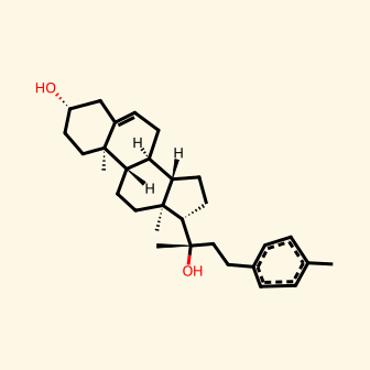 Cc1ccc(CC[C@](C)(O)[C@H]2CC[C@H]3[C@@H]4CC=C5C[C@@H](O)CC[C@]5(C)[C@H]4CC[C@@]32C)cc1